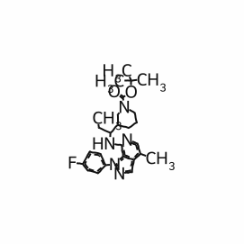 CCC(Nc1ncc(C)c2cnn(-c3ccc(F)cc3)c12)C1CCCN(C(=O)OC(C)(C)C)C1